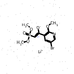 COc1ncc(Br)cc1/C([O-])=C/P(=O)(OC)OC.[Li+]